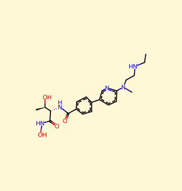 CCNCCN(C)c1ccc(-c2ccc(C(=O)N[C@H](C(=O)NO)[C@@H](C)O)cc2)cn1